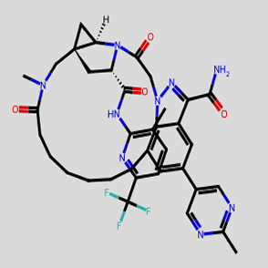 Cc1ncc(-c2cc3c4c(c2)c(C(N)=O)nn4CC(=O)N2[C@H](C(=O)Nc4nc(C(F)(F)F)ccc4C)C[C@]4(C[C@@H]24)CN(C)C(=O)CCCCCC3)cn1